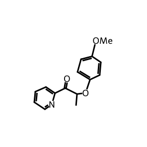 COc1ccc(OC(C)C(=O)c2ccccn2)cc1